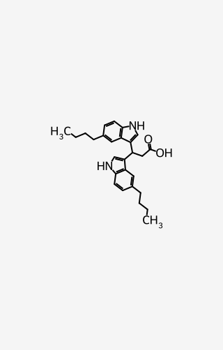 CCCCc1ccc2[nH]cc(C(CC(=O)O)c3c[nH]c4ccc(CCCC)cc34)c2c1